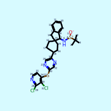 CC(C)(C)[S+]([O-])NC1c2ccccc2CC12CCC(c1cnc(Sc3ccnc(Cl)c3Cl)cn1)CC2